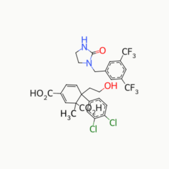 CC1(C(=O)O)C=C(C(=O)O)C=CC1(CCO)c1ccc(Cl)c(Cl)c1.O=C1NCCN1Cc1cc(C(F)(F)F)cc(C(F)(F)F)c1